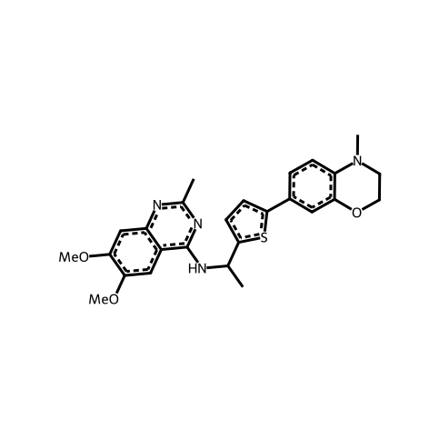 COc1cc2nc(C)nc(NC(C)c3ccc(-c4ccc5c(c4)OCCN5C)s3)c2cc1OC